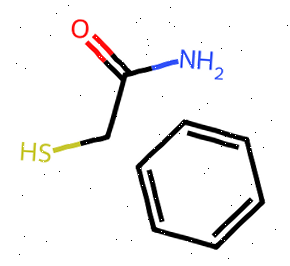 NC(=O)CS.c1ccccc1